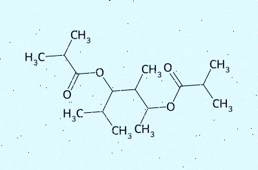 CC(C)C(=O)OC(C)C(C)C(OC(=O)C(C)C)C(C)C